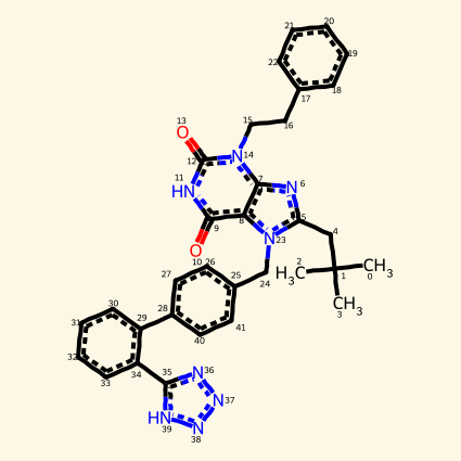 CC(C)(C)Cc1nc2c(c(=O)[nH]c(=O)n2CCc2ccccc2)n1Cc1ccc(-c2ccccc2-c2nnn[nH]2)cc1